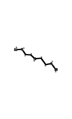 CCSCC[N]CCSCC